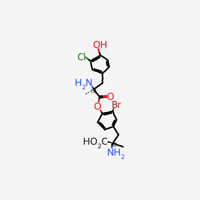 C[C@](N)(Cc1ccc(OC(=O)[C@@](C)(N)Cc2ccc(O)c(Cl)c2)c(Br)c1)C(=O)O